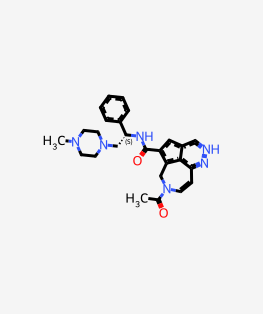 CC(=O)N1C=Cc2n[nH]cc3cc(C(=O)N[C@H](CN4CCN(C)CC4)c4ccccc4)c(c2-3)C1